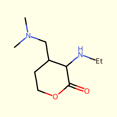 CCNC1C(=O)OCCC1CN(C)C